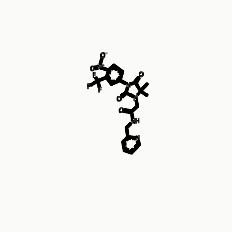 CC1(C)C(=O)N(c2ccc([N+](=O)[O-])c(C(F)(F)F)c2)C(=O)N1CC(=O)NCc1ccccn1